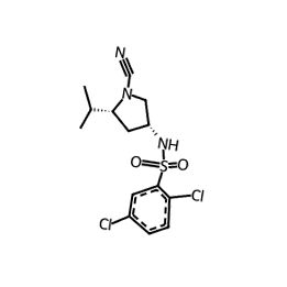 CC(C)[C@H]1C[C@@H](NS(=O)(=O)c2cc(Cl)ccc2Cl)CN1C#N